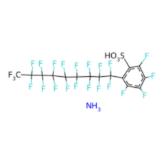 N.O=S(=O)(O)c1c(F)c(F)c(F)c(F)c1C(F)(F)C(F)(F)C(F)(F)C(F)(F)C(F)(F)C(F)(F)C(F)(F)C(F)(F)C(F)(F)F